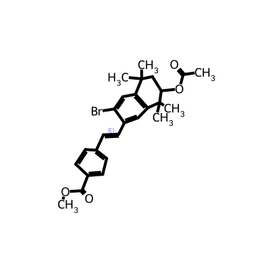 COC(=O)c1ccc(/C=C/c2cc3c(cc2Br)C(C)(C)CC(OC(C)=O)C3(C)C)cc1